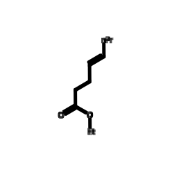 CCCC=CCCC(=O)OCC